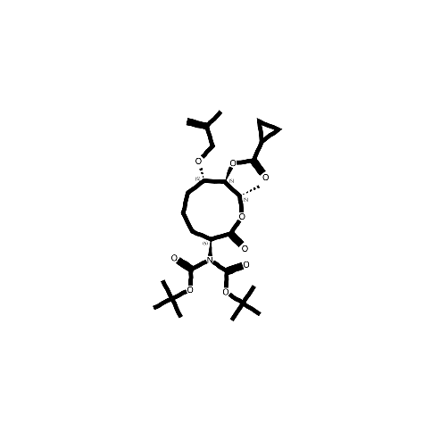 C=C(C)CO[C@H]1CCC[C@H](N(C(=O)OC(C)(C)C)C(=O)OC(C)(C)C)C(=O)O[C@@H](C)[C@@H]1OC(=O)C1CC1